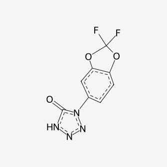 O=c1[nH]nnn1-c1ccc2c(c1)OC(F)(F)O2